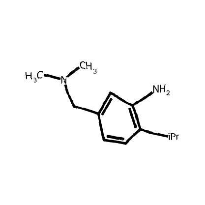 CC(C)c1ccc(CN(C)C)cc1N